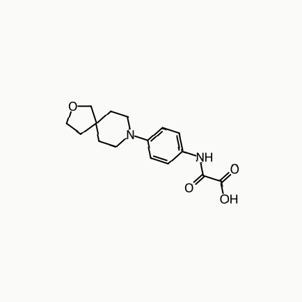 O=C(O)C(=O)Nc1ccc(N2CCC3(CCOC3)CC2)cc1